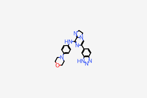 C1=C(c2ccc3nn[nH]c3c2)N=C(Nc2ccc(N3CCOCC3)cc2)C2=NCCN12